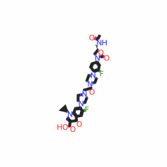 CC(=O)NC[C@H]1CN(c2ccc(N3CCN(C(=O)CN4CCN(c5cc6c(cc5F)c(=O)c(C(=O)O)cn6C5CC5)CC4)CC3)c(F)c2)C(=O)O1